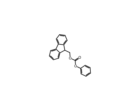 O=C(OCC1c2ccccc2-c2ccccc21)Oc1ccccc1